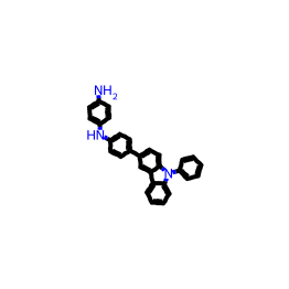 Nc1ccc(Nc2ccc(-c3ccc4c(c3)c3ccccc3n4-c3ccccc3)cc2)cc1